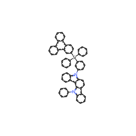 c1ccc(-n2c3ccccc3c3ccc4c(c5ccccc5n4-c4cccc([Si](c5ccccc5)(c5ccccc5)c5ccc6c7ccccc7c7ccccc7c6c5)c4)c32)cc1